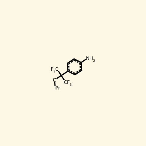 CC(C)OC(c1ccc(N)cc1)(C(F)(F)F)C(F)(F)F